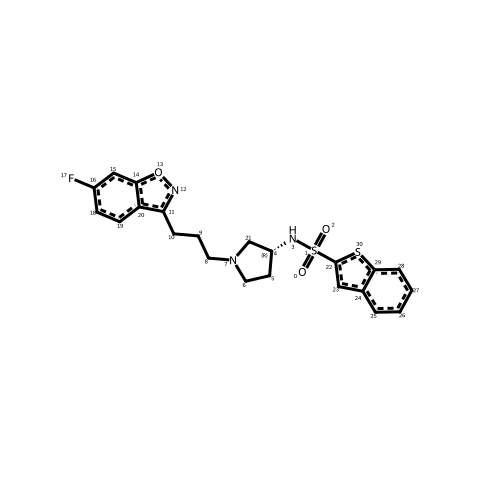 O=S(=O)(N[C@@H]1CCN(CCCc2noc3cc(F)ccc23)C1)c1cc2ccccc2s1